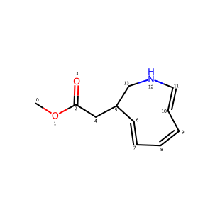 COC(=O)CC1/C=C/C=C\C=C\NC1